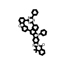 CC1(C)c2ccccc2C(=O)n2c1nc1cc3c4cc(-c5ccc6oc7cccc(-c8nc(-c9ccccc9)nc(-c9ccccc9)n8)c7c6c5)ccc4n(-c4ccccc4)c3cc12